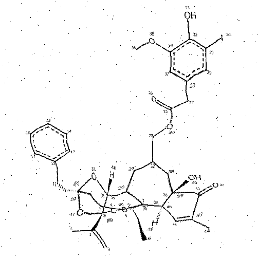 C=C(C)[C@]12C[C@@H](C)[C@@]34OC[C@](Cc5ccccc5)(O[C@@H]1C3CC(COC(=O)Cc1cc(I)c(O)c(OC)c1)C[C@]1(O)C(=O)C(C)=C[C@@H]41)O2